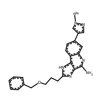 CCCn1cc(-c2ccc3c(c2)nc(N)c2nc(CCCOCc4ccccc4)[nH]c23)cn1